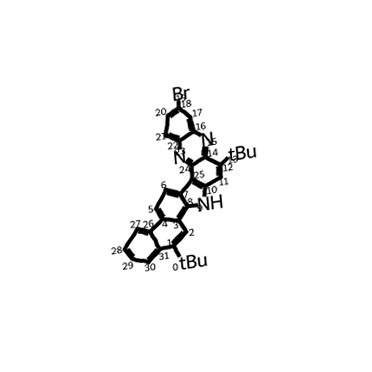 CC(C)(C)c1cc2c(ccc3c2[nH]c2cc(C(C)(C)C)c4nc5cc(Br)ccc5nc4c23)c2ccccc12